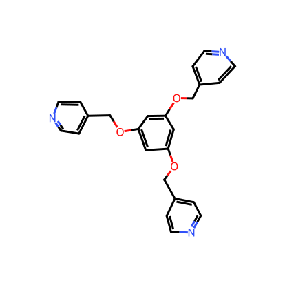 c1cc(COc2cc(OCc3ccncc3)cc(OCc3ccncc3)c2)ccn1